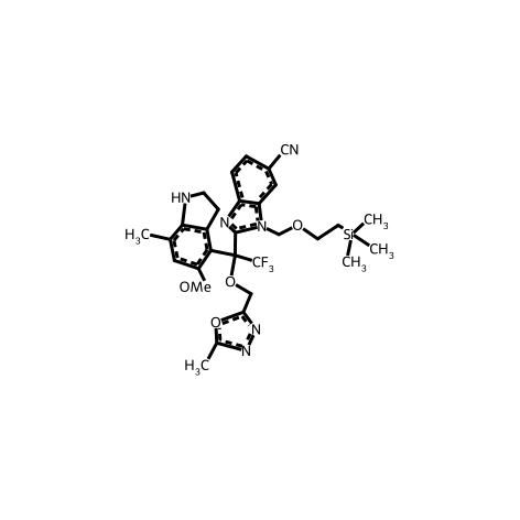 COc1cc(C)c2c(c1C(OCc1nnc(C)o1)(c1nc3ccc(C#N)cc3n1COCC[Si](C)(C)C)C(F)(F)F)CCN2